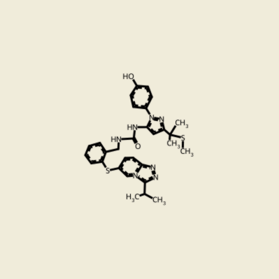 CSC(C)(C)c1cc(NC(=O)NCc2ccccc2Sc2ccc3nnc(C(C)C)n3c2)n(-c2ccc(O)cc2)n1